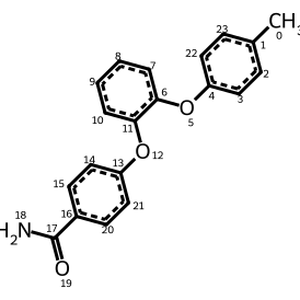 Cc1ccc(Oc2ccccc2Oc2ccc(C(N)=O)cc2)cc1